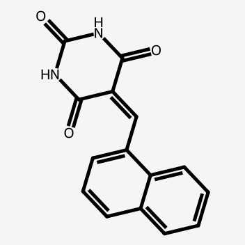 O=C1NC(=O)C(=Cc2cccc3ccccc23)C(=O)N1